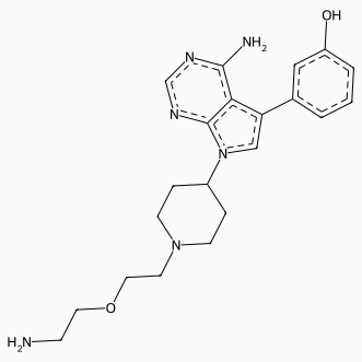 NCCOCCN1CCC(n2cc(-c3cccc(O)c3)c3c(N)ncnc32)CC1